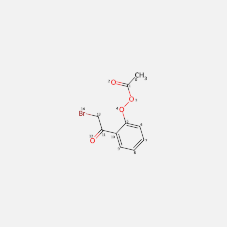 CC(=O)OOc1ccccc1C(=O)CBr